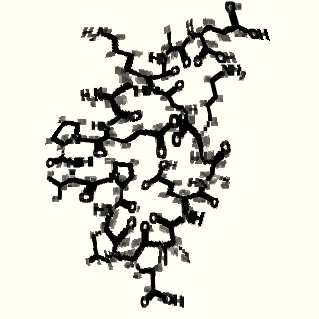 CC(C)C[C@H](NC(=O)[C@@H]1CCCN1C(=O)[C@@H](NC(=O)[C@@H]1CCCN1C(=O)[C@H](CCC(=O)O)NC(=O)[C@H](C)N)C(C)C)C(=O)N[C@@H](CCC(=O)O)C(=O)N[C@@H](C)C(=O)N[C@@H](CCC(=O)O)C(=O)N[C@@H](C)C(=O)N[C@@H](CCCCN)C(=O)NCC(=O)N[C@@H](CCCCN)C(=O)N[C@@H](C)C(=O)N[C@@H](CCC(=O)O)C(=O)O